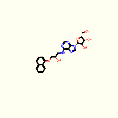 OC[C@H]1O[C@@H](n2cnc3c(NC[C@H](O)COc4cccc5ccccc45)ncnc32)[C@H](O)[C@@H]1O